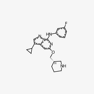 Fc1cccc(Nc2nc(OC[C@H]3CCCNC3)cc3c(C4CC4)cnn23)c1